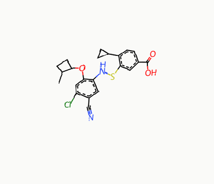 CC1CCC1Oc1cc(Cl)c(C#N)cc1NSc1cc(C(=O)O)ccc1C1CC1